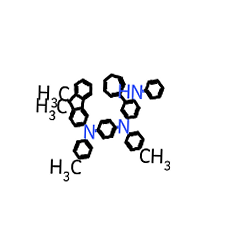 Cc1ccc(N(c2ccc(N(c3ccc(C)cc3)c3ccc4c(c3)-c3ccccc3C4(C)C)cc2)c2ccc(Nc3ccccc3)c(C3=CC=CCC#C3)c2)cc1